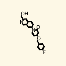 O=c1cc(OCc2ccc(F)cc2)ccn1-c1ccc2cc(CO)ncc2c1